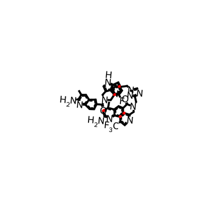 Cc1cc2cc(C(=O)N(Cc3ccccc3F)Cc3c[nH]c4cc(Cn5cnc(CN(Cc6ccc(C(F)(F)F)cn6)C(=O)c6ccc7nc(N)cc(C)c7c6)n5)cnc34)ccc2nc1N